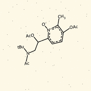 CC(=O)Oc1ccc(C(CN(C(C)=O)C(C)(C)C)OC(C)=O)[n+]([O-])c1C